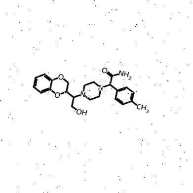 Cc1ccc(C(C(N)=O)N2CCN(C(CO)C3COc4ccccc4O3)CC2)cc1